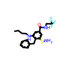 CCCCNc1cc(C(=O)NCC(F)(F)F)cc(SN)c1Cc1ccccc1